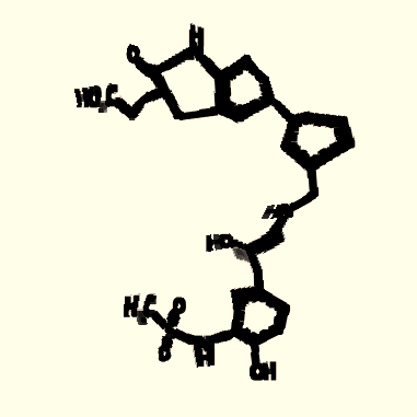 CS(=O)(=O)Nc1cc([C@H](O)CNCc2cccc(-c3ccc4c(c3)CC(CC(=O)O)C(=O)N4)c2)ccc1O